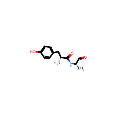 C[C@@H]([C]=O)NC(=O)[C@H](N)Cc1ccc(O)cc1